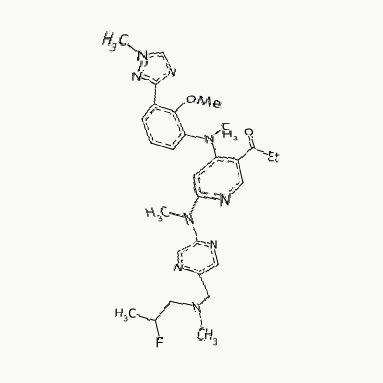 CCC(=O)c1cnc(N(C)c2cnc(CN(C)CC(C)F)cn2)cc1N(C)c1cccc(-c2ncn(C)n2)c1OC